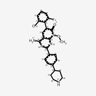 COn1c(=O)c(-c2c(F)cccc2Cl)cc2c(N)nc(-c3ccc(C4CCNCC4)cc3)nc21